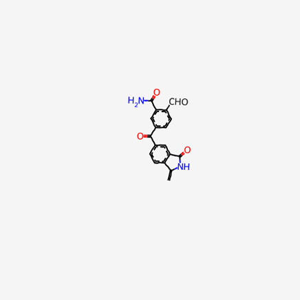 C=C1NC(=O)c2cc(C(=O)c3ccc(C=O)c(C(N)=O)c3)ccc21